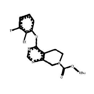 CCc1c(F)cccc1Oc1ncnc2c1CCN(C(=O)OC(C)(C)C)C2